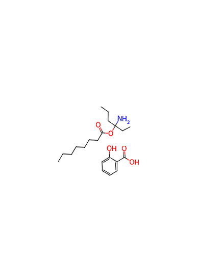 CCCCCCCC(=O)OC(N)(CC)CCC.O=C(O)c1ccccc1O